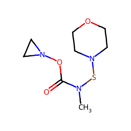 CN(SN1CCOCC1)C(=O)ON1CC1